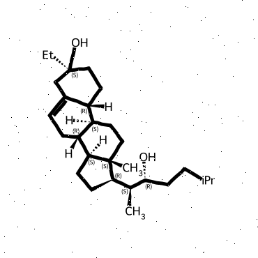 CC[C@]1(O)CC[C@H]2C(=CC[C@@H]3[C@@H]2CC[C@]2(C)[C@@H]([C@H](C)[C@H](O)CCC(C)C)CC[C@@H]32)C1